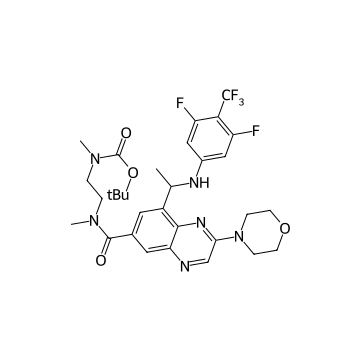 CC(Nc1cc(F)c(C(F)(F)F)c(F)c1)c1cc(C(=O)N(C)CCN(C)C(=O)OC(C)(C)C)cc2ncc(N3CCOCC3)nc12